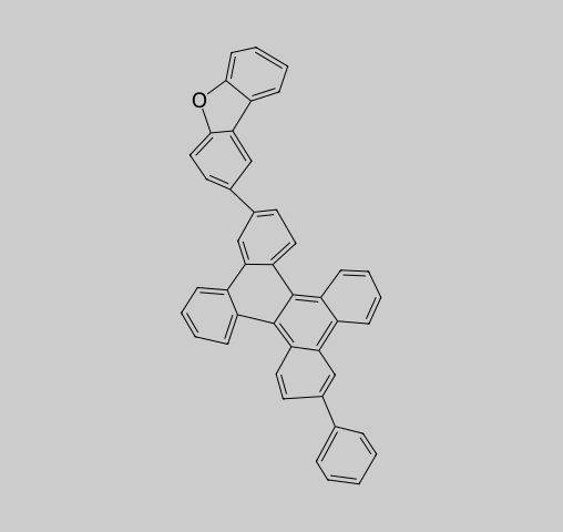 c1ccc(-c2ccc3c(c2)c2ccccc2c2c4ccc(-c5ccc6oc7ccccc7c6c5)cc4c4ccccc4c32)cc1